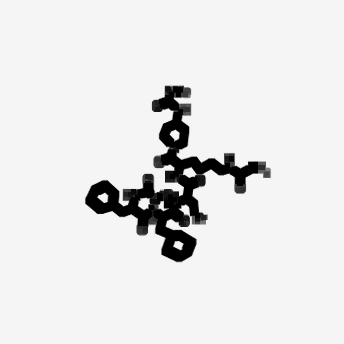 CNC(=O)NC1CCN(C(=O)C(CCCCNC(N)=O)NC(=O)C(CC(C)C)NC(=O)C(Cc2ccccc2)NC(=O)C(Cc2ccccc2)NC(=O)OC(C)(C)C)CC1